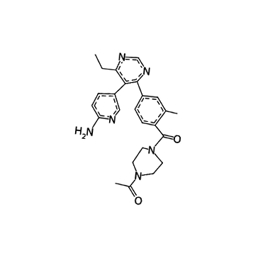 CCc1ncnc(-c2ccc(C(=O)N3CCN(C(C)=O)CC3)c(C)c2)c1-c1ccc(N)nc1